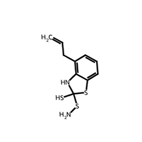 C=CCc1cccc2c1NC(S)(SN)S2